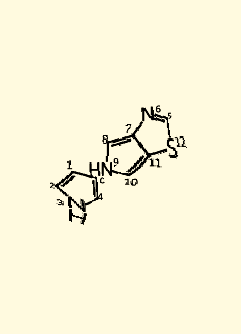 c1cc[nH]c1.c1nc2c[nH]cc2s1